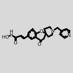 O=C(/C=C/c1ccc2c(c1)C(=O)CC1(CCN(Cc3ccncc3)CC1)O2)NO